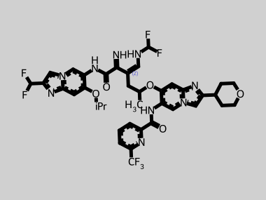 CC(C)Oc1cc2nc(C(F)F)cn2cc1NC(=O)C(=N)/C(=C\NC(F)F)CC(C)Oc1cc2nc(C3CCOCC3)cn2cc1NC(=O)c1cccc(C(F)(F)F)n1